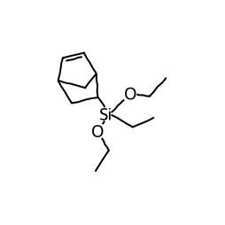 CCO[Si](CC)(OCC)C1CC2C=CC1C2